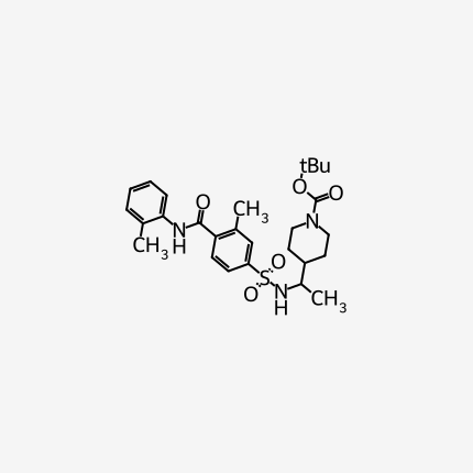 Cc1ccccc1NC(=O)c1ccc(S(=O)(=O)NC(C)C2CCN(C(=O)OC(C)(C)C)CC2)cc1C